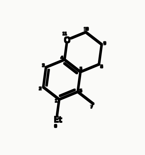 CCc1ccc2c(c1C)CCCO2